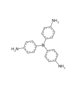 Nc1cc[c]([Bi]([c]2ccc(N)cc2)[c]2ccc(N)cc2)cc1